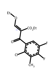 CCO/C=C(\C(=O)OCC)C(=O)c1cc(F)c(F)c(C)c1Cl